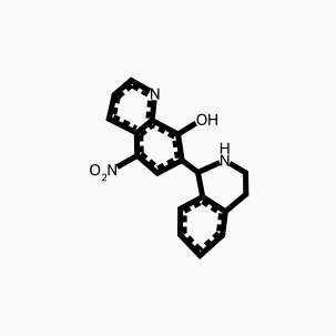 O=[N+]([O-])c1cc(C2NCCc3ccccc32)c(O)c2ncccc12